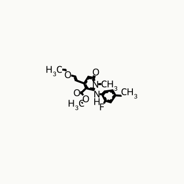 CCOC=Cc1cc(=O)n(C)c(Nc2ccc(CC)cc2F)c1C(=O)OC